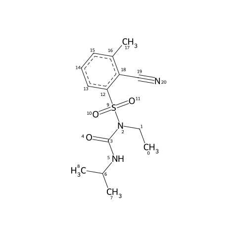 CCN(C(=O)NC(C)C)S(=O)(=O)c1cccc(C)c1C#N